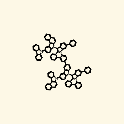 c1ccc(-c2ccc3c(-n4c5ccc(-c6ccc7c(c6)c6ccccc6c6c(-n8c9ccc(-n%10c%11ccccc%11c%11ccccc%11%10)cc9c9c%10ccccc%10ccc98)c8ccc(-c9ccccc9)cc8n76)cc5c5cc(-n6c7ccccc7c7c8ccccc8ccc76)ccc54)c4c5ccccc5c5ccccc5n4c3c2)cc1